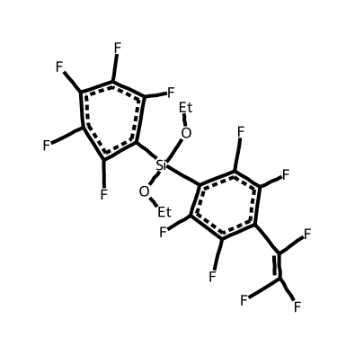 CCO[Si](OCC)(c1c(F)c(F)c(F)c(F)c1F)c1c(F)c(F)c(C(F)=C(F)F)c(F)c1F